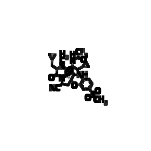 CN(C(=O)C(CC1CC1)NC(=O)C(F)(F)F)C(CC1CC1)C(=O)N1C[C@@]2(C[C@H]1C#N)Oc1cc(S(C)(=O)=O)ccc1NC2=O